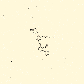 CCCCCCc1cc(/C=C/c2cccc(-c3ccccc3)c2C#N)c(C)cc1CN1CCNCC1